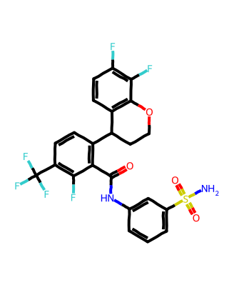 NS(=O)(=O)c1cccc(NC(=O)c2c(C3CCOc4c3ccc(F)c4F)ccc(C(F)(F)F)c2F)c1